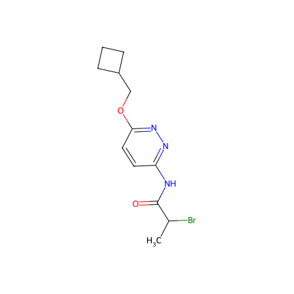 CC(Br)C(=O)Nc1ccc(OCC2CCC2)nn1